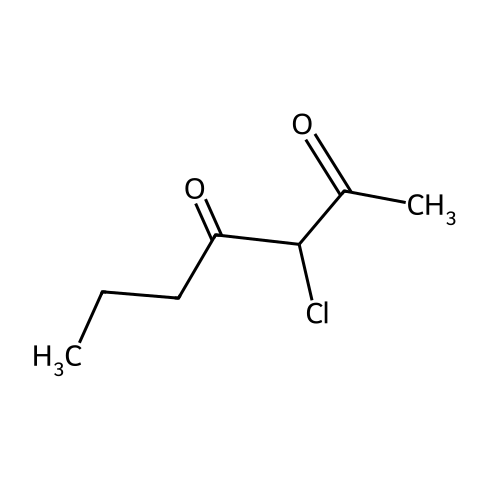 CCCC(=O)C(Cl)C(C)=O